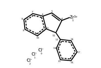 [Cl-].[Cl-].[Cl-].[Zr+3][C]1=Cc2ccccc2C1c1ccccc1